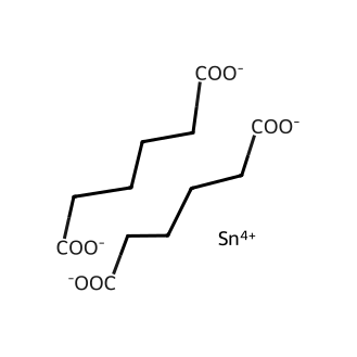 O=C([O-])CCCCC(=O)[O-].O=C([O-])CCCCC(=O)[O-].[Sn+4]